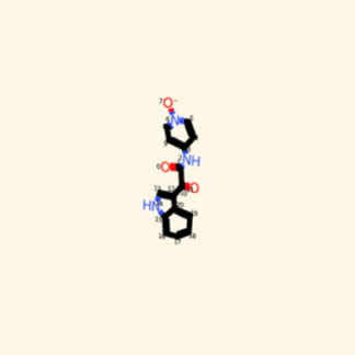 O=C(Nc1cc[n+]([O-])cc1)C(=O)c1c[nH]c2ccccc12